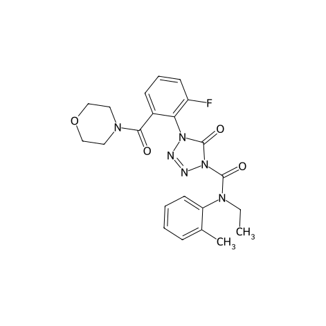 CCN(C(=O)n1nnn(-c2c(F)cccc2C(=O)N2CCOCC2)c1=O)c1ccccc1C